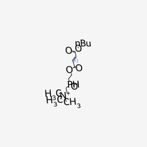 CCCCOC(=O)/C=C/C(=O)OCC[PH](=O)CC[N+](C)(C)C